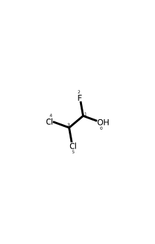 OC(F)C(Cl)Cl